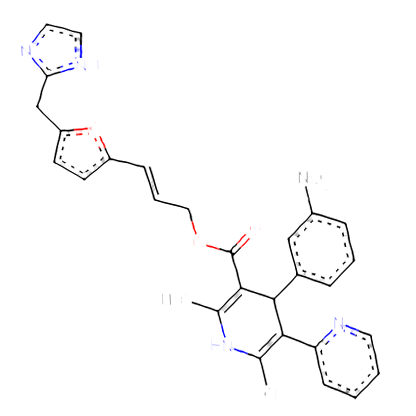 CC1=C(C(=O)OCC=Cc2ccc(Cc3ncc[nH]3)o2)C(c2cccc([N+](=O)[O-])c2)C(c2ccccn2)=C(C)N1